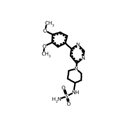 COc1ccc(-c2cc(N3CCC(NS(N)(=O)=O)CC3)ncn2)cc1OC